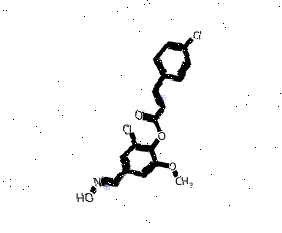 COc1cc(/C=N/O)cc(Cl)c1OC(=O)/C=C/c1ccc(Cl)cc1